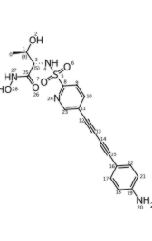 C[C@@H](O)[C@H](NS(=O)(=O)c1ccc(C#CC#Cc2ccc(N)cc2)cn1)C(=O)NO